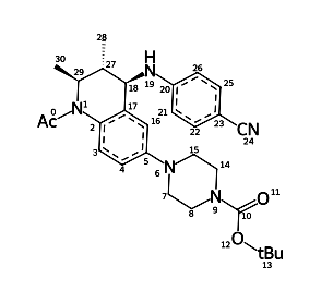 CC(=O)N1c2ccc(N3CCN(C(=O)OC(C)(C)C)CC3)cc2[C@H](Nc2ccc(C#N)cc2)[C@@H](C)[C@@H]1C